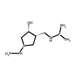 O[C@H]1CN(PP)C[C@H]1CNP(P)P